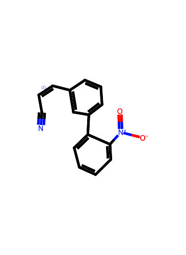 N#C/C=C\c1cccc(-c2ccccc2[N+](=O)[O-])c1